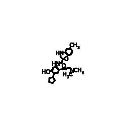 Cc1ccc2c(c1)NCC(C(=O)Nc1cc(O)c(C3CCCC3)cc1C#CCN(C)C)O2